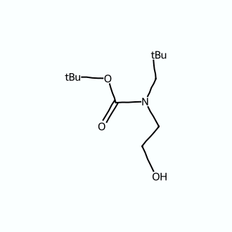 CC(C)(C)CN(CCO)C(=O)OC(C)(C)C